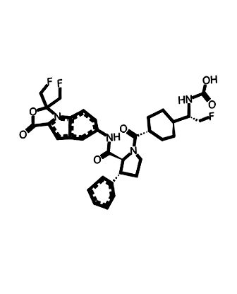 O=C(O)N[C@H](CF)[C@H]1CC[C@H](C(=O)N2CC[C@H](c3ccccc3)[C@H]2C(=O)Nc2ccc3c(c2)cc2n3C(CF)(CF)OC2=O)CC1